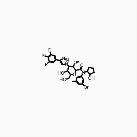 COC1C(C(=O)N(c2cc(C)cc(Br)c2)C2CCCC2O)OC(CO)C(O)C1n1cc(-c2cc(F)c(F)c(F)c2)nn1